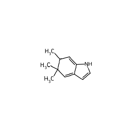 CC1C=c2[nH]ccc2=CC1(C)C